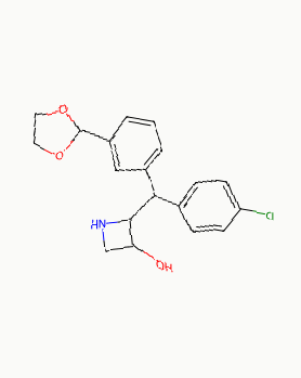 OC1CNC1C(c1ccc(Cl)cc1)c1cccc(C2OCCO2)c1